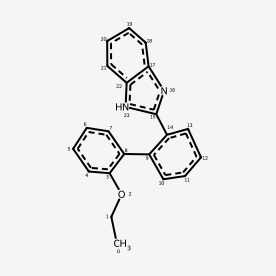 CCOc1ccccc1-c1ccccc1-c1nc2ccccc2[nH]1